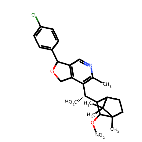 Cc1ncc2c(c1[C@@H](C(=O)O)C1C3CCC(C)(C1O[N+](=O)[O-])C3(C)C)COC2c1ccc(Cl)cc1